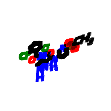 CS(=O)(=O)c1ccc(NC(=O)c2n[nH]cc2NC(=O)c2c(Cl)cccc2Cl)cn1